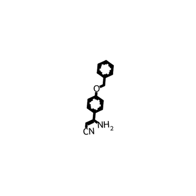 N#CC=C(N)c1ccc(OCc2ccccc2)cc1